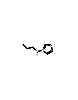 CCCN[n+]1cc[nH]c1